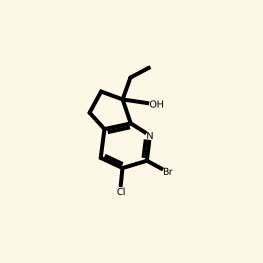 CCC1(O)CCc2cc(Cl)c(Br)nc21